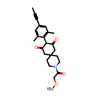 CC#Cc1cc(C)c(C2C(=O)CC3(CCN(C(=O)COC(C)(C)C)CC3)CC2=O)c(C)c1